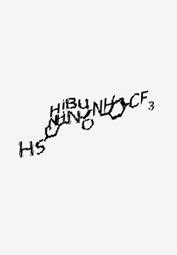 CC[C@H](C)[C@H](NCc1ccc(C(F)(F)F)cc1)C(=O)NCC1CC(S)CN1